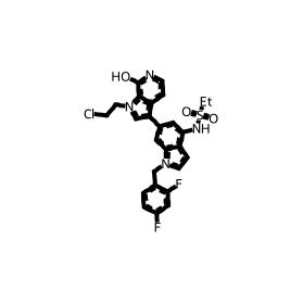 CCS(=O)(=O)Nc1cc(-c2cn(CCCl)c3c(O)nccc23)cc2c1ccn2Cc1ccc(F)cc1F